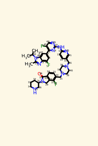 Cc1nc2c(F)cc(-c3nc(Nc4ccc(CN5CCN(Cc6ccc7c(c6F)CN(C6CCCNC6)C7=O)CC5)cn4)ncc3F)cc2n1C(C)C